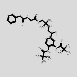 CC(C)(CNC(=O)CNC(=O)Cc1ccccc1)NCC(O)c1ccc(OC(=O)C(C)(C)C)c(OC(=O)C(C)(C)C)c1